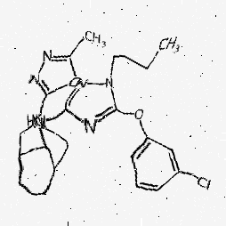 CCCn1nc(NC2C3CCC2CN(c2nnc(C)o2)C3)nc1Oc1cccc(Cl)c1